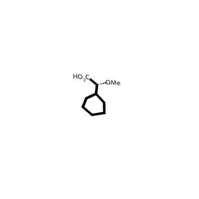 CO[C@@H](C(=O)O)C1CCCCC1